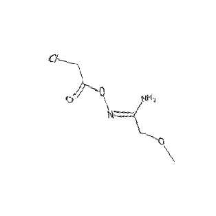 COC/C(N)=N/OC(=O)CCl